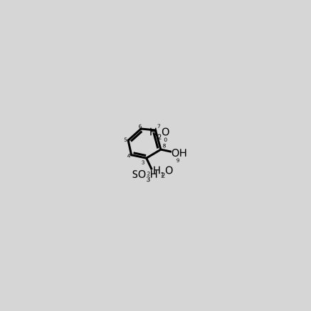 O.O.O=S(=O)(O)c1ccccc1O